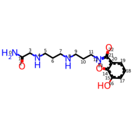 NC(=O)CNCCCNCCCn1oc2c(O)cccc2c1=O